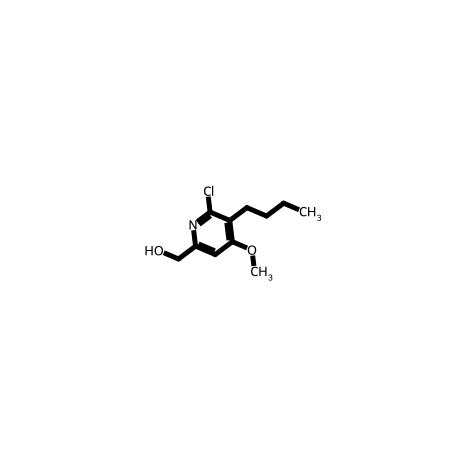 CCCCc1c(OC)cc(CO)nc1Cl